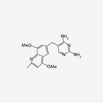 COc1cc(C)nc2c(OC)cc(Cc3cnc(N)nc3N)cc12